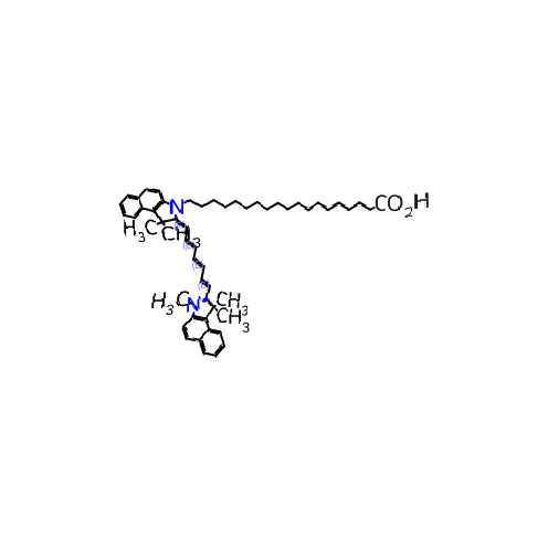 C[N+]1=C(/C=C/C=C/C=C/C=C2/N(CCCCCCCCCCCCCCCCCCC(=O)O)c3ccc4ccccc4c3C2(C)C)C(C)(C)c2c1ccc1ccccc21